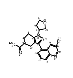 CC(=O)N1CCc2c(c(-c3cccc4ncc(Br)cc34)nn2C2CCOC2)C1